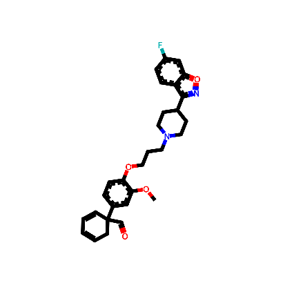 COc1cc(C2(C=O)C=CC=CC2)ccc1OCCCN1CCC(c2noc3cc(F)ccc23)CC1